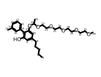 CCCCCc1cc(O)c(-c2cccc(C)c2)c(OC(C)OCCOCCOCCOCCOC)c1